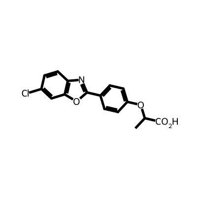 CC(Oc1ccc(-c2nc3ccc(Cl)cc3o2)cc1)C(=O)O